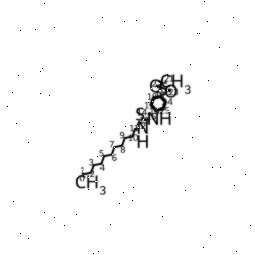 CCCCCCCCCCCCNC(=S)Nc1ccc(S(C)(=O)=O)cc1